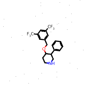 FC(F)(F)c1cc(COC2CCNCC2c2ccccc2)cc(C(F)(F)F)c1